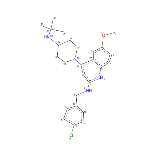 COc1ccc2nc(NCc3ccc(Cl)cc3)cc(N3CCC(NC(C)(C)C)CC3)c2c1